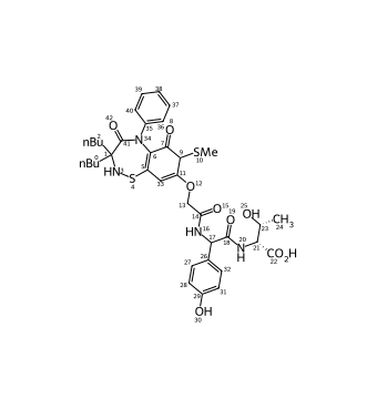 CCCCC1(CCCC)NSC2=C(C(=O)C(SC)C(OCC(=O)NC(C(=O)N[C@@H](C(=O)O)[C@@H](C)O)c3ccc(O)cc3)=C2)N(c2ccccc2)C1=O